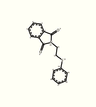 O=C1c2ccccc2C(=O)N1CCSc1cc[c]cc1